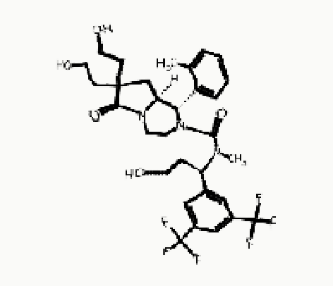 Cc1ccccc1[C@H]1[C@@H]2CC(CCO)(CCO)C(=O)N2CCN1C(=O)N(C)[C@H](CCO)c1cc(C(F)(F)F)cc(C(F)(F)F)c1